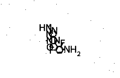 CNc1ncc2nc(-c3c(F)ccc(N)c3F)c(=O)n(C)c2n1